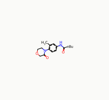 CCCCC(=O)Nc1ccc(N2CCOCC2=O)c(C)c1